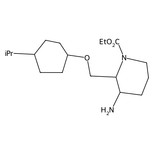 CCOC(=O)N1CCCC(N)C1COC1CCC(C(C)C)CC1